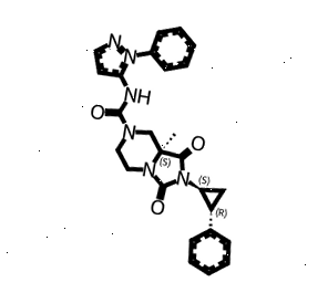 C[C@@]12CN(C(=O)Nc3ccnn3-c3ccccc3)CCN1C(=O)N([C@H]1C[C@@H]1c1ccccc1)C2=O